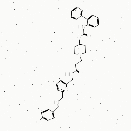 O=C(CCN1CCC(OC(=O)Nc2ccccc2-c2ccccc2)CC1)NCc1cccc(CNCc2ccc(O)cc2)n1